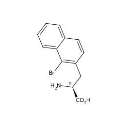 N[C@@H](Cc1ccc2ccccc2c1Br)C(=O)O